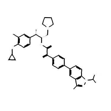 Cc1nn(C(C)C)c2ccc(-c3ccc(C(=O)C(=O)N[C@H](CN4CCCC4)[C@H](O)c4ccc(OC5CC5)c(Cl)c4)cc3)cc12